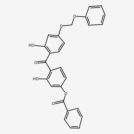 O=C(Oc1ccc(C(=O)c2ccc(OCOc3ccccc3)cc2O)c(O)c1)c1ccccc1